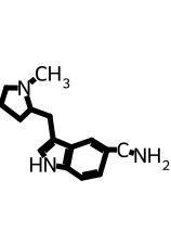 CN1CCCC1Cc1c[nH]c2ccc(CN)cc12